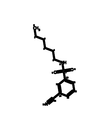 CCCCCCNS(=O)(=O)c1cccc(C#N)c1